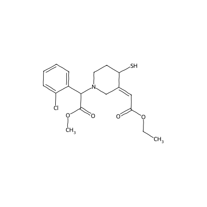 CCOC(=O)C=C1CN(C(C(=O)OC)c2ccccc2Cl)CCC1S